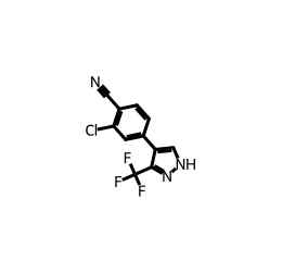 N#Cc1ccc(-c2c[nH]nc2C(F)(F)F)cc1Cl